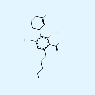 CCCCCc1cc(O)c([C@@H]2C=C(C)CCC2)c(O)c1C(=O)O